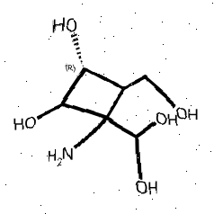 NC1(C(O)O)C(O)[C@H](O)C1CO